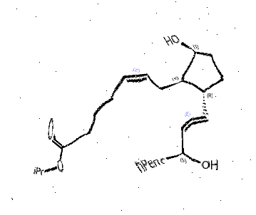 CCCCC[C@H](O)/C=C/[C@H]1CC[C@H](O)[C@@H]1C/C=C\CCCC(=O)OC(C)C